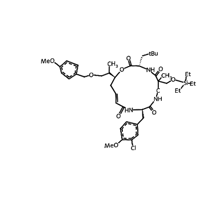 CC[Si](CC)(CC)OCC1(C)CNC(=O)[C@@H](Cc2ccc(OC)c(Cl)c2)NC(=O)/C=C/C[C@@H](C(C)COCc2ccc(OC)cc2)OC(=O)[C@H](CC(C)(C)C)NC1=O